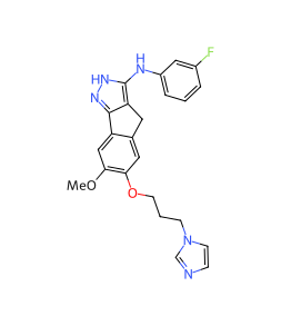 COc1cc2c(cc1OCCCn1ccnc1)Cc1c-2n[nH]c1Nc1cccc(F)c1